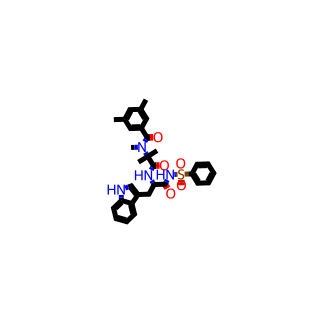 Cc1cc(C)cc(C(=O)N(C)C(C)(C)C(=O)NC(Cc2c[nH]c3ccccc23)C(=O)NS(=O)(=O)c2ccccc2)c1